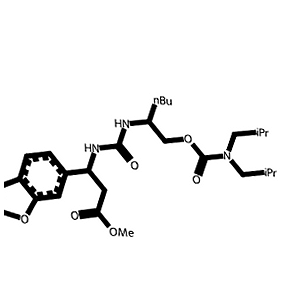 CCCCC(COC(=O)N(CC(C)C)CC(C)C)NC(=O)NC(CC(=O)OC)c1ccc2c(c1)OCO2